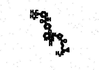 CC(C)c1ccnc(NC(=O)c2ccc(Oc3ccnc4[nH]nc(N[C@@H]5CCN(C(=O)C=CCN(C)C6CC6)C5)c34)cc2)c1